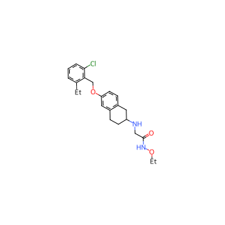 CCONC(=O)CNC1CCc2cc(OCc3c(Cl)cccc3CC)ccc2C1